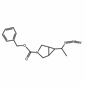 CC(N=[N+]=[N-])C1C2CN(C(=O)OCc3ccccc3)CC21